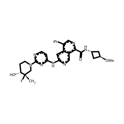 CO[C@H]1C[C@H](NC(=O)c2ncc(C(C)C)c3cc(Nc4ccnc(N5CC[C@@H](O)[C@@](C)(F)C5)n4)ncc23)C1